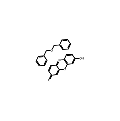 O=c1ccc2nc3ccc(O)cc3oc-2c1.c1ccc(COCc2ccccc2)cc1